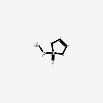 CC(C)(C)OP1(=O)CC=CC1